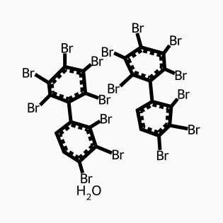 Brc1ccc(-c2c(Br)c(Br)c(Br)c(Br)c2Br)c(Br)c1Br.Brc1ccc(-c2c(Br)c(Br)c(Br)c(Br)c2Br)c(Br)c1Br.O